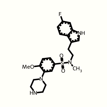 COc1ccc(S(=O)(=O)N(C)CCc2c[nH]c3cc(F)ccc23)cc1N1CCNCC1